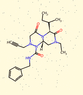 C#CCN1CC(=O)N2[C@@H](C(C)CC)C(=O)N(CC)C[C@@H]2N1C(=O)NCc1ccccc1